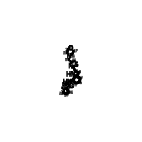 O=S(=O)(Nc1cccc2cc(C3=N[C@@H](CN4CCOCC4)CS3)[nH]c12)c1cccs1